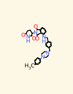 Cc1ccc(N2CCN(Cc3ccc(CNc4cccc5c4C(=O)N(C4CCC(=O)NC4=O)C5=O)cc3)CC2)cc1